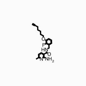 C#CCCCCCOc1cccc(CNC(=O)c2ccc(C)nc2N)c1F